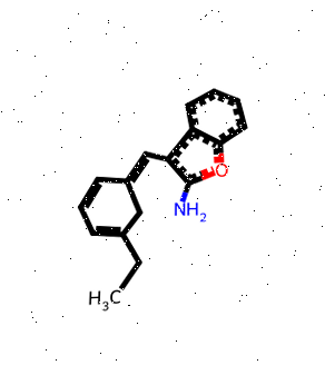 CCC1=CC=C/C(=C/c2c(N)oc3ccccc23)C1